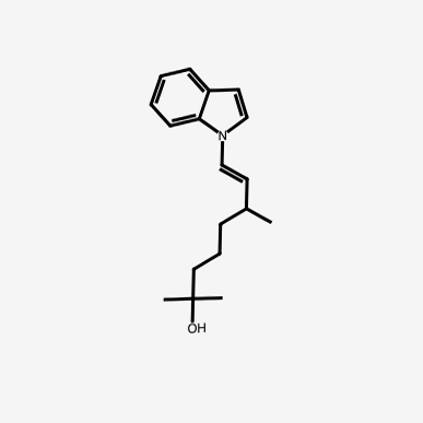 CC(C=Cn1ccc2ccccc21)CCCC(C)(C)O